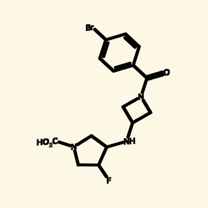 O=C(O)N1CC(F)C(NC2CN(C(=O)c3ccc(Br)cc3)C2)C1